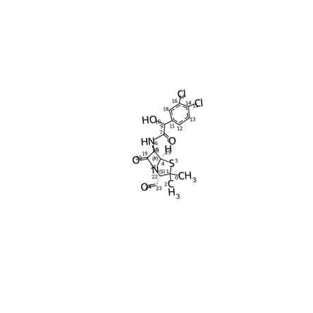 CC1(C)S[C@@H]2[C@H](NC(=O)C(O)c3ccc(Cl)c(Cl)c3)C(=O)N2[C@H]1C=O